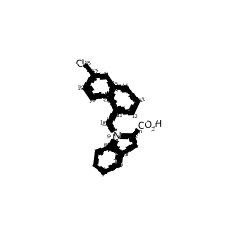 O=C(O)c1cc2ccccc2n1Cc1cccc2cc(Cl)ccc12